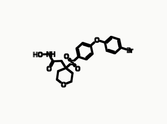 O=C(CC1(S(=O)(=O)c2ccc(Oc3ccc(Br)cc3)cc2)CCOCC1)NO